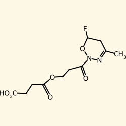 CC1=NN(C(=O)CCOC(=O)CCC(=O)O)OC(F)C1